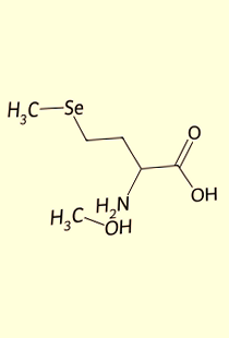 CO.C[Se]CCC(N)C(=O)O